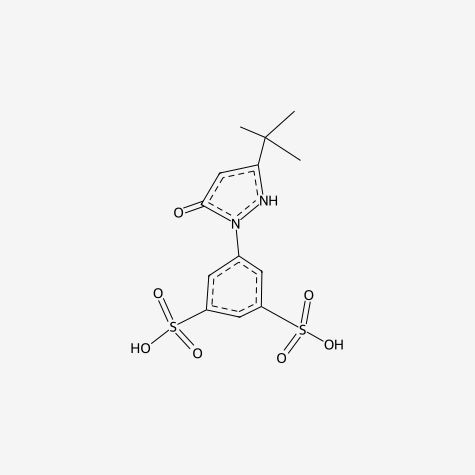 CC(C)(C)c1cc(=O)n(-c2cc(S(=O)(=O)O)cc(S(=O)(=O)O)c2)[nH]1